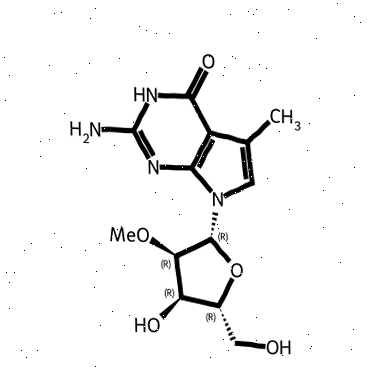 CO[C@@H]1[C@H](O)[C@@H](CO)O[C@H]1n1cc(C)c2c(=O)[nH]c(N)nc21